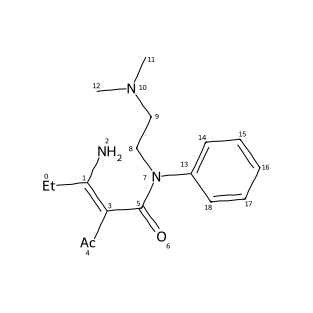 CCC(N)=C(C(C)=O)C(=O)N(CCN(C)C)c1ccccc1